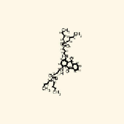 CCCCN(CCCC)S(=O)(=O)CCCNc1ccc(NCCCS(=O)(=O)N(CCCC)CCCC)c2c1C(=O)c1ccccc1C2=O